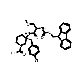 COCC(NC(=O)OCC1c2ccccc2-c2ccccc21)C(=O)N[C@@]1(Cc2ccc(Cl)cc2)CCCN(C(=O)O)C1